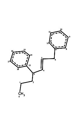 CCC[C](C=CCc1ccccc1)c1ccccc1